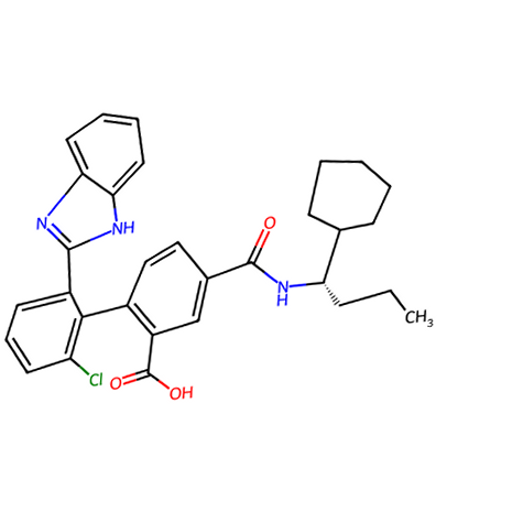 CCC[C@H](NC(=O)c1ccc(-c2c(Cl)cccc2-c2nc3ccccc3[nH]2)c(C(=O)O)c1)C1CCCCC1